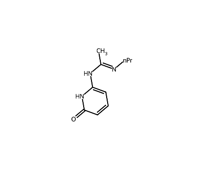 CCCN=C(C)Nc1cccc(=O)[nH]1